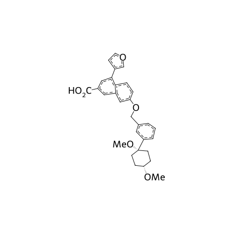 CO[C@H]1CC[C@](OC)(c2cccc(COc3ccc4c(-c5ccoc5)cc(C(=O)O)cc4c3)c2)CC1